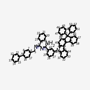 N/C(=N\C(=N/Cc1ccc(-c2ccccc2)cc1)c1ccccc1)c1cccc(-n2c3ccccc3c3c4c(ccc32)C(c2ccccc2)(c2ccccc2)c2ccccc2-4)c1